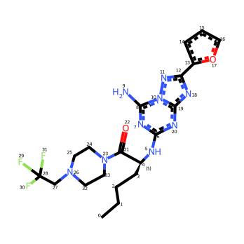 CCCC[C@H](Nc1nc(N)n2nc(-c3ccco3)nc2n1)C(=O)N1CCN(CC(F)(F)F)CC1